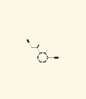 Cc1c(C#N)cccc1C(=O)CC#N